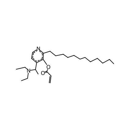 C=CC(=O)Oc1c(C(C)N(CC)CC)ccnc1CCCCCCCCCCCC